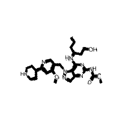 CCCC(CCO)Nc1nc(NC(=O)OC)nc2cnn(Cc3cnc(C4CCNCC4)cc3OC)c12